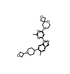 Cc1nc(N2CCOC3(COC3)C2)cc(-n2ncc3cc(C)c(C4CCN(C5COC5)CC4)cc32)n1